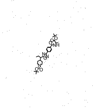 CCC(c1nc(-c2ccc(C(=O)NC(C)C(=O)OC(C)(C)C)cc2)no1)C1CCN(C(=O)OC(C)(C)C)CC1